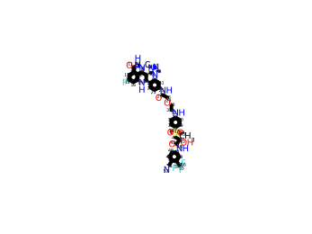 Cn1ncnc1[C@H]1c2n[nH]c(=O)c3cc(F)cc(c23)N[C@@H]1c1ccc(NC(=O)COCCNc2ccc(S(=O)(=O)CC(C)(O)C(=O)Nc3ccc(C#N)c(C(F)(F)F)c3)cc2)cc1